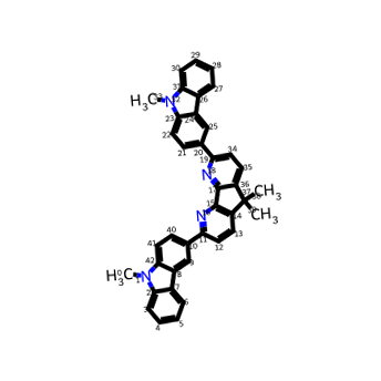 Cn1c2ccccc2c2cc(-c3ccc4c(n3)-c3nc(-c5ccc6c(c5)c5ccccc5n6C)ccc3C4(C)C)ccc21